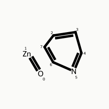 [O]=[Zn].c1ccncc1